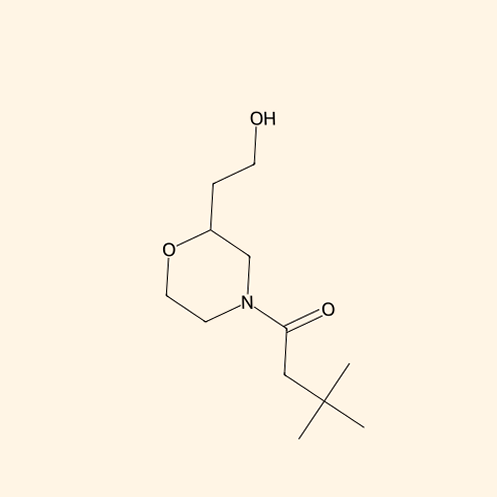 CC(C)(C)CC(=O)N1CCOC(CCO)C1